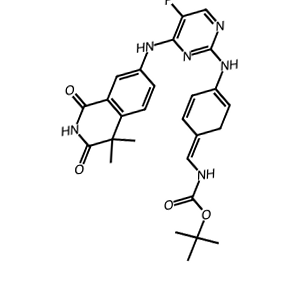 CC(C)(C)OC(=O)NC=C1C=CC(Nc2ncc(F)c(Nc3ccc4c(c3)C(=O)NC(=O)C4(C)C)n2)=CC1